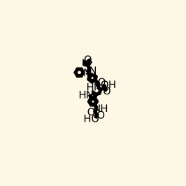 O=C(O)C(=O)Nc1ccc2[nH]cc(CC(NC(=O)c3ccc4c(c3)nc(-c3ccoc3)n4C3CCCCC3)C(=O)O)c2c1